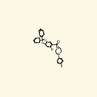 O=C(c1cc2c(cc1F)OC(c1ccccc1)(c1ccccc1)O2)N1CCN(c2ccc(F)cc2)CC1